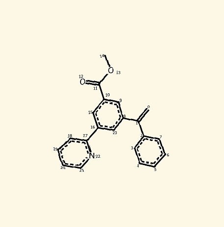 C=C(c1ccccc1)c1cc(C(=O)OC)cc(-c2ccccn2)c1